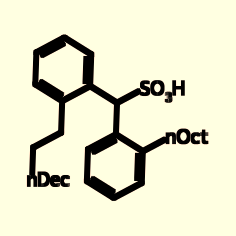 CCCCCCCCCCCCc1ccccc1C(c1ccccc1CCCCCCCC)S(=O)(=O)O